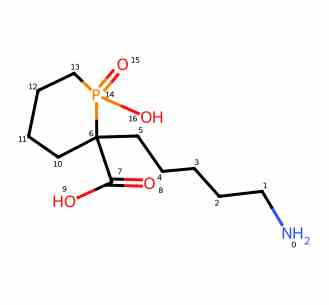 NCCCCCC1(C(=O)O)CCCCP1(=O)O